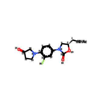 CC(=O)NC[C@H]1CN(c2ccc(N3CCC(=O)C3)c(F)c2)C(=O)O1